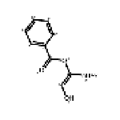 CCCCCCC(=[C]O)OC(=O)c1ccccc1